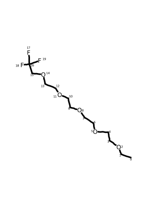 CCOCCOCCOCCOCCOCC(F)(F)F